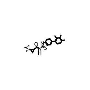 Cc1ccc(-c2ccc3nc(NC(=O)C4CC4[Si](C)(C)C)sc3c2)c(C)c1C